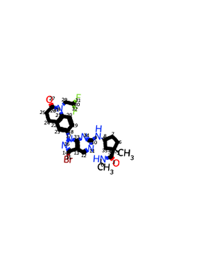 CNC(=O)[C@]1(C)CC[C@@H](Nc2ncc3c(Br)nn(-c4ccc5c(c4)CCC(=O)N5CC(F)F)c3n2)C1